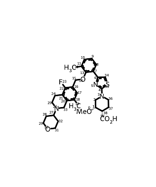 CO[C@@H]1CN(c2nc(-c3cccc(C)c3OCc3cc(C)c4c(c3F)CCN(C3CCOCC3)C4)cs2)CC[C@@H]1C(=O)O